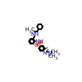 CC(CC1CCCCC1)NCc1ccccc1NS(=O)(=O)c1ccc2nc(N(C)C)sc2c1